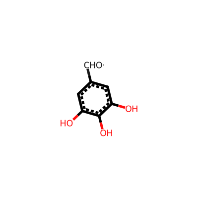 O=[C]c1cc(O)c(O)c(O)c1